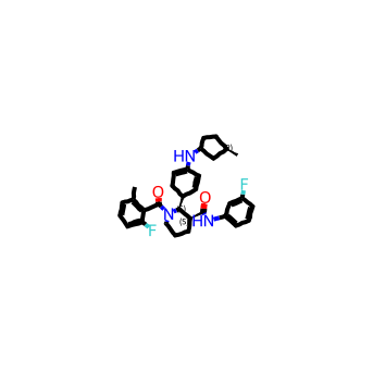 Cc1cccc(F)c1C(=O)N1CCC[C@H](C(=O)Nc2cccc(F)c2)[C@@H]1C1C=CC(NC2CC[C@@H](C)C2)=CC1